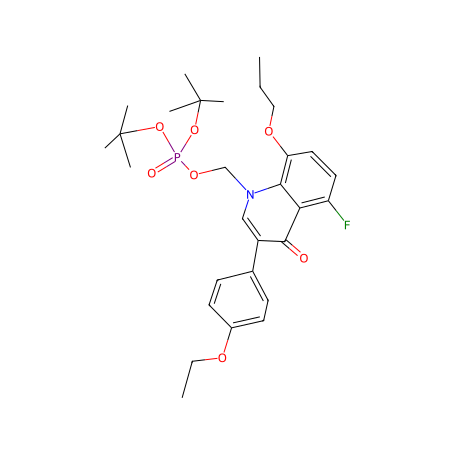 CCCOc1ccc(F)c2c(=O)c(-c3ccc(OCC)cc3)cn(COP(=O)(OC(C)(C)C)OC(C)(C)C)c12